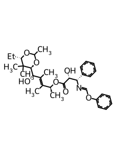 CC[C@@H]1OC(C)O[C@@H]([C@@H](O)/C(C)=C(\C)[C@H](C)OC(=O)[C@H](O)[C@@H](N=COc2ccccc2)c2ccccc2)C1(C)C